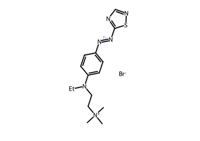 CCN(CC[N+](C)(C)C)c1ccc(/N=N/c2ncns2)cc1.[Br-]